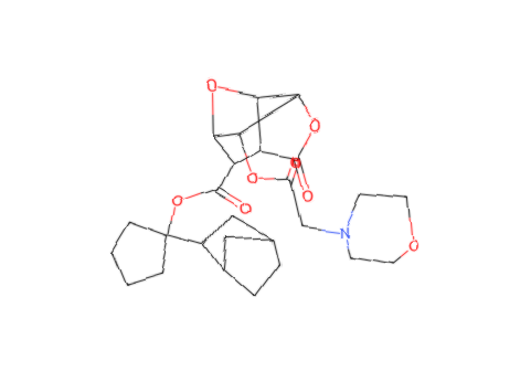 O=C(CN1CCOCC1)OC1C2OC(=O)C3C2OC1C3C(=O)OC1(C2CC3CCC2C3)CCCC1